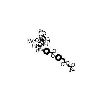 COCP(=O)(NC(=N)Nc1ccc(C(=O)Oc2ccc(CC(=O)OCC(=O)N(C)C)cc2)cc1)N[C@@H](C)C(=O)OC(C)C